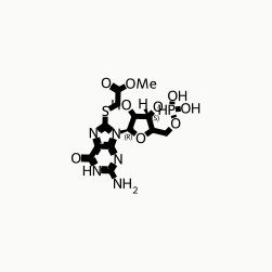 COC(=O)CSc1nc2c(=O)[nH]c(N)nc2n1[C@@H]1OC2CO[PH](O)(O)O[C@H]2C1O